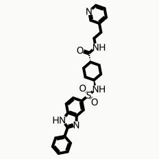 O=C(NCCc1cccnc1)[C@H]1CC[C@H](NS(=O)(=O)c2ccc3[nH]c(-c4ccccc4)nc3c2)CC1